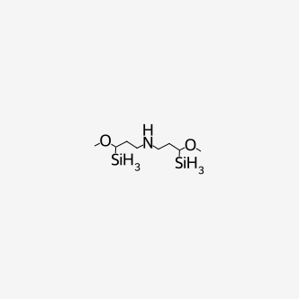 COC([SiH3])CCNCCC([SiH3])OC